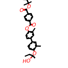 CCC(C)(C)OC(=O)c1ccc(C(=O)Oc2ccc(-c3ccc(OC(C)(O)CC)c(C)c3)cc2C)cc1